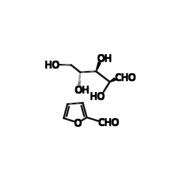 O=C[C@@H](O)[C@H](O)[C@H](O)CO.O=Cc1ccco1